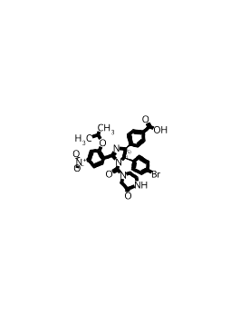 CC(C)Oc1cc([N+](=O)[O-])ccc1C1=N[C@@H](c2ccc(C(=O)O)cc2)[C@@H](c2ccc(Br)cc2)N1C(=O)N1CCNC(=O)C1